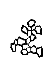 c1ccc(C2(c3ccccc3)c3ccccc3N3c4cc5oc6ccccc6c5c5c4B(c4cccc2c43)n2c3cc4ccccc4cc3c3cccc-5c32)cc1